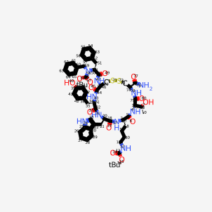 C[C@@H](O)[C@@H]1NC(=O)[C@H](CCCCNC(=O)OC(C)(C)C)NC(=O)[C@@H](Cc2c[nH]c3ccccc23)NC(=O)[C@H](Cc2ccc(O)cc2)NC(=O)[C@@H](NC(=O)[C@@H](Cc2ccccc2)N(Cc2ccccc2)C(=O)OC(C)(C)C)CSSC[C@@H](C(N)=O)NC1=O